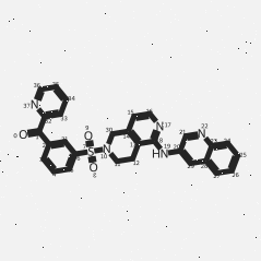 O=C(c1cccc(S(=O)(=O)N2CCc3c(ccnc3Nc3cnc4ccccc4c3)C2)c1)c1ccccn1